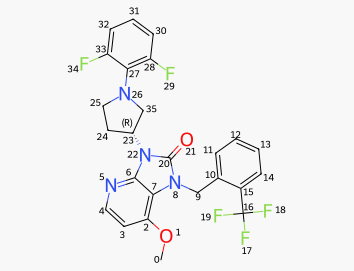 COc1ccnc2c1n(Cc1ccccc1C(F)(F)F)c(=O)n2[C@@H]1CCN(c2c(F)cccc2F)C1